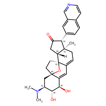 CN(C)[C@H]1C[C@@]23CC[C@@]4(O2)C(=CC[C@]2(C)[C@@H](c5ccc6ccncc6c5)C(=O)C[C@H]24)C=C3[C@@H](O)[C@@H]1O